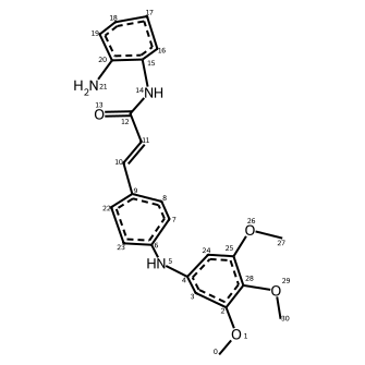 COc1cc(Nc2ccc(C=CC(=O)Nc3ccccc3N)cc2)cc(OC)c1OC